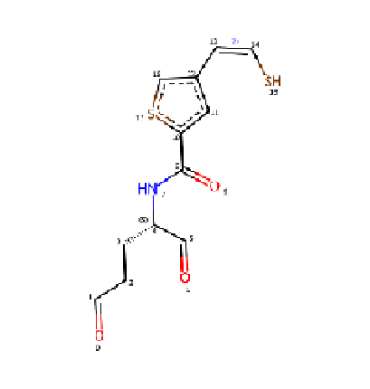 O=CCC[C@@H](C=O)NC(=O)c1cc(/C=C\S)cs1